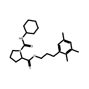 Cc1cc(C)c(C)c(CCCOC(=S)C2CCCN2C(=O)NC2CCCCC2)c1